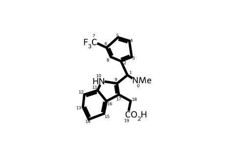 CNC(c1cccc(C(F)(F)F)c1)c1[nH]c2ccccc2c1CC(=O)O